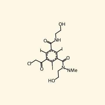 CNN(CCO)C(=O)c1c(I)c(C(=O)CCl)c(I)c(C(=O)NCCO)c1I